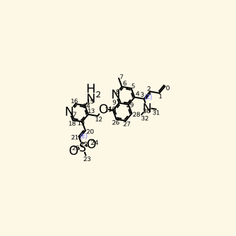 C=C/C=C(/c1cc(C)nc2c(OCc3c(N)cncc3/C=C/S(C)(=O)=O)cccc12)N(C)C